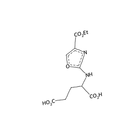 CCOC(=O)c1coc(NC(CCC(=O)O)C(=O)O)n1